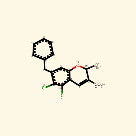 O=C(O)C1=Cc2c(cc(Cc3ccccc3)c(Cl)c2Cl)OC1C(F)(F)F